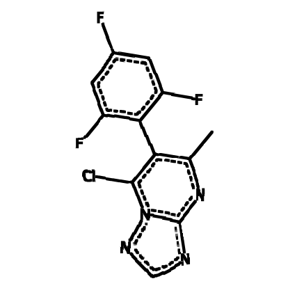 Cc1nc2ncnn2c(Cl)c1-c1c(F)cc(F)cc1F